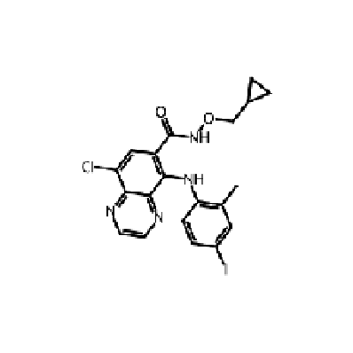 Cc1cc(I)ccc1Nc1c(C(=O)NOCC2CC2)cc(Cl)c2nccnc12